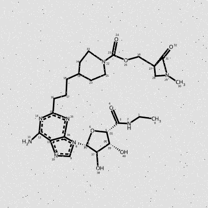 CCNC(=O)[C@H]1O[C@@H](n2cnc3c(N)nc(CCCC4CCN(C(=O)OCC5CN(C)C5=O)CC4)nc32)C(O)[C@H]1O